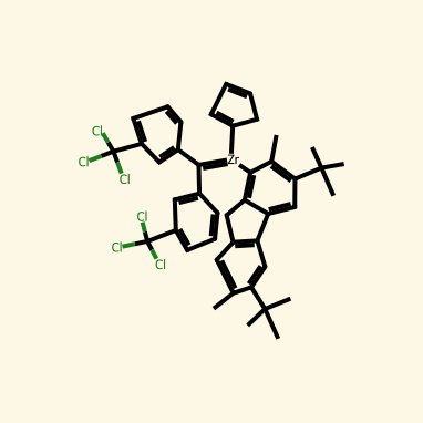 Cc1cc2c(cc1C(C)(C)C)-c1cc(C(C)(C)C)c(C)[c]([Zr]([C]3=CC=CC3)=[C](c3cccc(C(Cl)(Cl)Cl)c3)c3cccc(C(Cl)(Cl)Cl)c3)c1C2